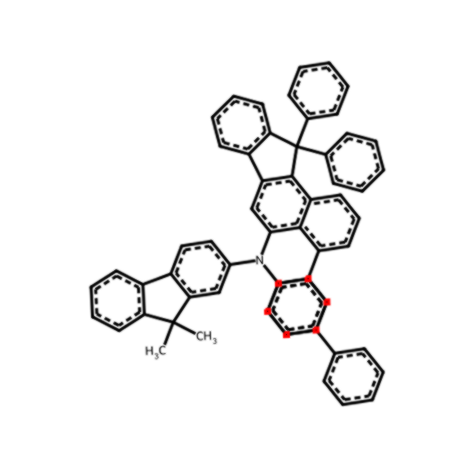 CC1(C)c2ccccc2-c2ccc(N(c3ccc(-c4ccccc4)cc3)c3cc4c(c5cccc(-c6ccccc6)c35)C(c3ccccc3)(c3ccccc3)c3ccccc3-4)cc21